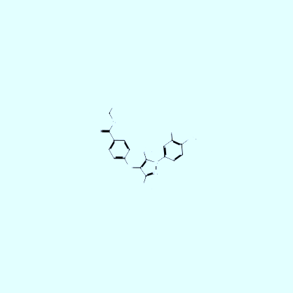 Cc1nn(-c2ccc(C#N)c(Cl)c2)c(C)c1Oc1ccc(C(=O)NCC(=O)O)cc1